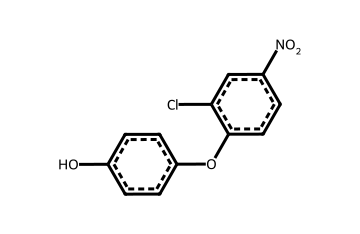 O=[N+]([O-])c1ccc(Oc2ccc(O)cc2)c(Cl)c1